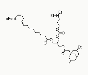 CCCCC/C=C\C/C=C\CCCCCCCC(=O)OCC(COC(=O)C[C@@]12CC(C)CC(C[C@H](CC)C1)C2)COC(=O)OCCCN(CC)CC